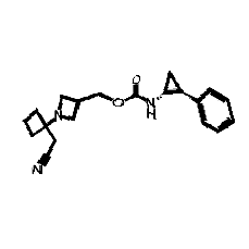 N#CCC1(N2CC(COC(=O)N[C@@H]3C[C@H]3c3ccccc3)C2)CCC1